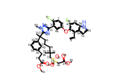 C=Cc1c(Oc2ccc(F)c(-c3nc(C(C)(CCCC(C)(C)CS(=O)(=O)CC(=O)OC)c4cccc(CCC(=O)OC)c4)n(C)n3)c2)c(F)cc2[nH]ccc12